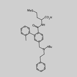 CCCCN(CCc1ccccc1)Cc1ccc(C(=O)NC(CCSC)C(=O)O)c(-c2ccccc2C)c1